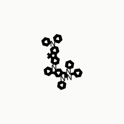 CC1(C)c2cc(N(c3ccccc3)c3ccccc3)ccc2-c2ccc(-n3c4ccccc4c4cc5c(cc43)c3c(nc(-c4ccccc4)n3-c3ccccc3)n5-c3ccccc3)cc21